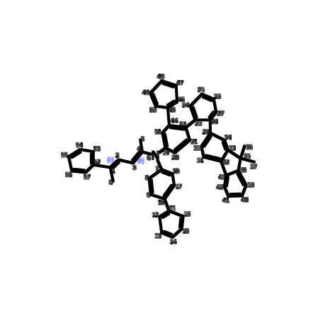 C/C(=C\C=C(/C)N(c1ccc(-c2ccccc2)cc1)c1ccc(-c2ccccc2-c2ccc3c(c2)C(C)(C)c2ccccc2-3)c(-c2ccccc2)c1)c1ccccc1